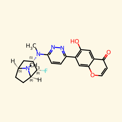 CN(c1ccc(-c2cc3occc(=O)c3cc2O)nn1)[C@H]1C[C@@H]2CC[C@H]([C@H]1F)N2C